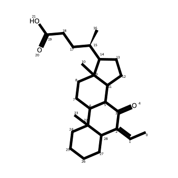 C/C=C1\C(=O)C2C(CCC3(C)C2CCC3[C@H](C)CCC(=O)O)C2(C)CCCCC12